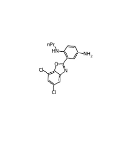 CCCNc1ccc(N)cc1-c1nc2cc(Cl)cc(Cl)c2o1